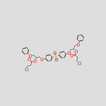 O=C(CCCl)OC(COc1ccccc1)COc1ccc(S(=O)(=O)c2ccc(OCC(COc3ccccc3)OC(=O)CCCl)cc2)cc1